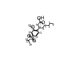 CCCCCC(CC(=O)O)c1ccc(S(=O)(=O)C(C)C)cc1OC